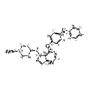 N#CN1CCC(Cn2ccc3ncnc(Oc4ccc(Oc5ccccc5)cc4)c32)CC1